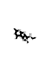 CCNc1c2sc3nc(C)cc(C)c3c2nn1C